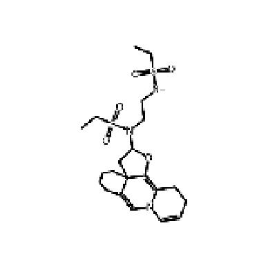 CCS(=O)(=O)NCCN(C1CC23CCCCC2=CN2C=CCCC2=C3O1)S(=O)(=O)CC